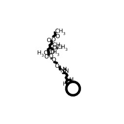 CCOC(=O)C(CC(C)C(=O)OCC(=O)CC)CC(C)(C)C(=O)OCOCCOCCn1cc(CCC2C[C@H]3CCCCCCCCCCCCC[C@@H](C2)C3)nn1